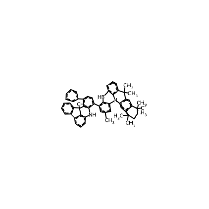 Cc1cc(-c2ccc(-c3ccccc3)c3c2Nc2cccc4c2C3(C)c2ccccc2-4)c2c(c1)N1c3cc4c(cc3C(C)(C)c3cccc(c31)B2)C(C)(C)CCC4(C)C